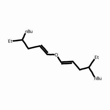 CCCCC(CC)CC=COC=CCC(CC)CCCC